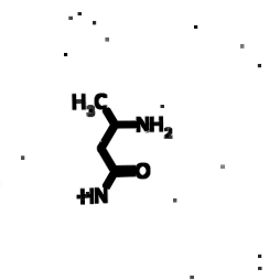 CC(N)CC([NH])=O